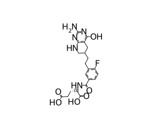 Nc1nc(O)c2c(n1)NCC(CCc1cc(C(=O)N[C@@H](CCC(=O)O)C(=O)O)ccc1F)C2